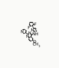 COc1ccc2nc(-c3cccnc3)nc(Nc3nc(-c4c(F)cccc4F)cs3)c2c1